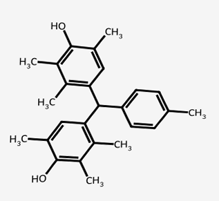 Cc1ccc(C(c2cc(C)c(O)c(C)c2C)c2cc(C)c(O)c(C)c2C)cc1